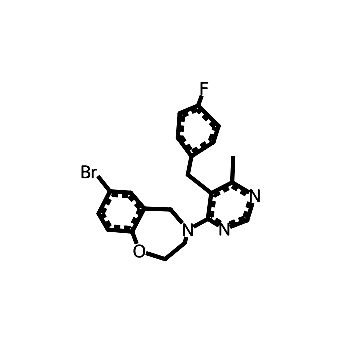 Cc1ncnc(N2CCOc3ccc(Br)cc3C2)c1Cc1ccc(F)cc1